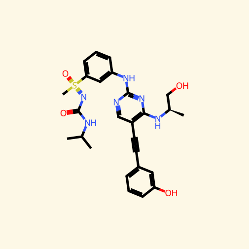 CC(C)NC(=O)N=S(C)(=O)c1cccc(Nc2ncc(C#Cc3cccc(O)c3)c(N[C@H](C)CO)n2)c1